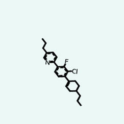 CCCc1ccc(-c2ccc(C3=CCC(CCC)CC3)c(Cl)c2F)nc1